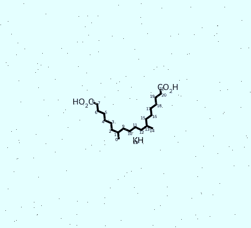 CC(CCCCCCC(=O)O)CCCCC(C)CCCCCCC(=O)O.[KH]